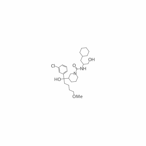 COCCCCC(O)(c1cccc(Cl)c1)C1CCCN(C(=O)NC(CO)CC2CCCCC2)C1